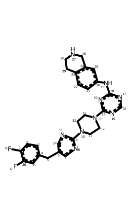 Fc1ccc(Cc2cnc(N3CCN(c4ncnc(Nc5ccc6c(c5)CNCC6)n4)CC3)nc2)cc1F